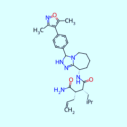 C=CC[C@H](C(N)=O)[C@@H](CC(C)C)C(=O)N[C@H]1CCCCN2C1=NNC2c1ccc(-c2c(C)noc2C)cc1